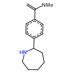 C=C(NC)c1ccc(C2CCCCCN2)cc1